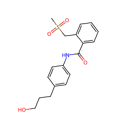 CS(=O)(=O)Cc1ccccc1C(=O)Nc1ccc(CCCO)cc1